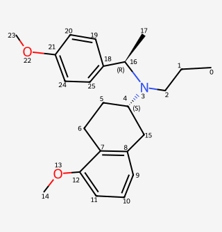 CCCN([C@H]1CCc2c(cccc2OC)C1)[C@H](C)c1ccc(OC)cc1